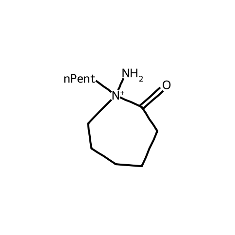 CCCCC[N+]1(N)CCCCCC1=O